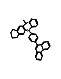 CC(C)c1cc2c(cc1N(c1ccccc1)c1ccc(-c3cc4ccccc4c4ccccc34)cc1)CCCC2